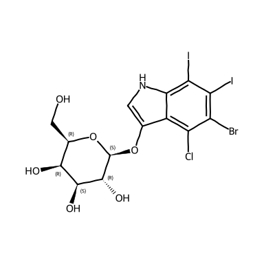 OC[C@H]1O[C@@H](Oc2c[nH]c3c(I)c(I)c(Br)c(Cl)c23)[C@H](O)[C@@H](O)[C@H]1O